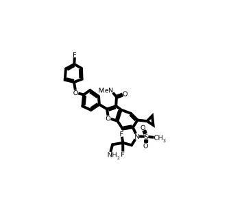 CNC(=O)c1c(-c2ccc(Oc3ccc(F)cc3)cc2)oc2cc(N(CC(F)(F)CN)S(C)(=O)=O)c(C3CC3)cc12